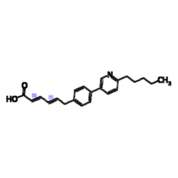 CCCCCc1ccc(-c2ccc(C/C=C/C=C/C(=O)O)cc2)cn1